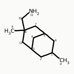 CC1CC2CC(C1)CC(C)(CN)C2